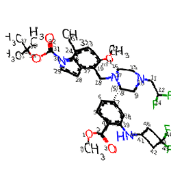 COC(=O)c1ccc([C@H]2CN(CC(F)F)CCN2Cc2c(OC)cc(C)c3c2ccn3C(=O)OC(C)(C)C)cc1NC1CC(F)(F)C1